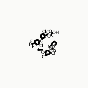 C#CCOc1cc(-n2nc3n(c2=O)CCCC3)c(Cl)cc1Cl.C[C@H](OC(=O)c1cc(Oc2ccc(C(F)(F)F)cc2Cl)ccc1Cl)C(=O)O